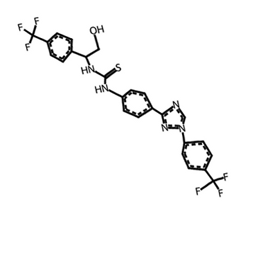 OCC(NC(=S)Nc1ccc(-c2ncn(-c3ccc(C(F)(F)F)cc3)n2)cc1)c1ccc(C(F)(F)F)cc1